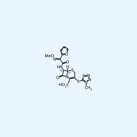 CON=C(C(=O)N[C@@H]1C(=O)N2C(C(=O)O)=C(Sc3nnnn3C)CS[C@@H]12)c1ccco1